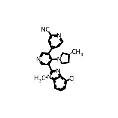 C[C@@H]1CCN(c2c(-c3ccnc(C#N)c3)cncc2-c2nc3c(Cl)cccc3n2C)C1